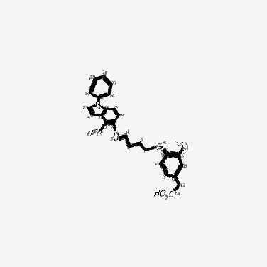 CCCc1c(OCCCCSc2ccc(CC(=O)O)cc2Cl)ccc2c1ccn2-c1ccccc1